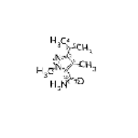 Cc1c(C(C)C)nn(C)c1C(N)=O